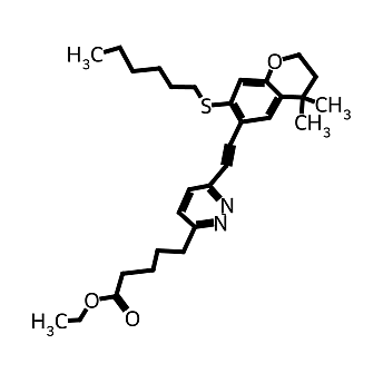 CCCCCCSc1cc2c(cc1C#Cc1ccc(CCCCC(=O)OCC)nn1)C(C)(C)CCO2